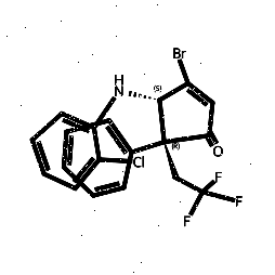 O=C1C=C(Br)[C@@H](Nc2ccccc2Cl)[C@@]1(CC(F)(F)F)c1ccccc1